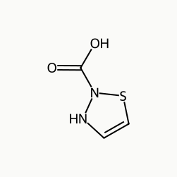 O=C(O)N1NC=CS1